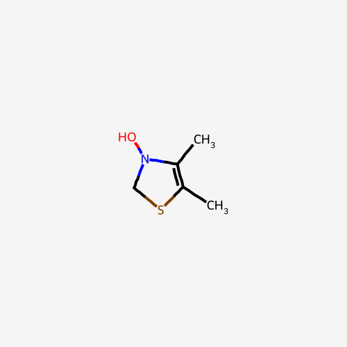 CC1=C(C)N(O)CS1